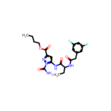 CCCCOC(=O)c1cc(NC(=O)C(CC)NC(=O)Cc2cc(F)cc(F)c2)n(C(N)=O)n1